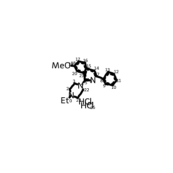 CCN1CCN(c2nc(-c3ccccc3)cc3ccc(OC)cc23)CC1.Cl.Cl